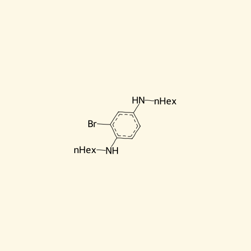 CCCCCCNc1ccc(NCCCCCC)c(Br)c1